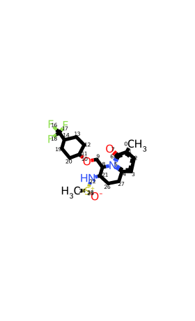 Cc1ccc2n(c1=O)C(COC1CCC(C(F)(F)F)CC1)C(N[S+](C)[O-])CC2